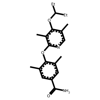 CCC(CC)Oc1c(C)cnc(Oc2c(C)cc(C(N)=O)cc2C)c1C